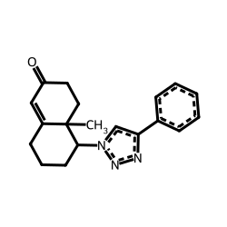 CC12CCC(=O)C=C1CCCC2n1cc(-c2ccccc2)nn1